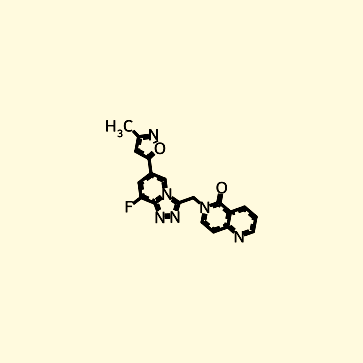 Cc1cc(-c2cc(F)c3nnc(Cn4ccc5ncccc5c4=O)n3c2)on1